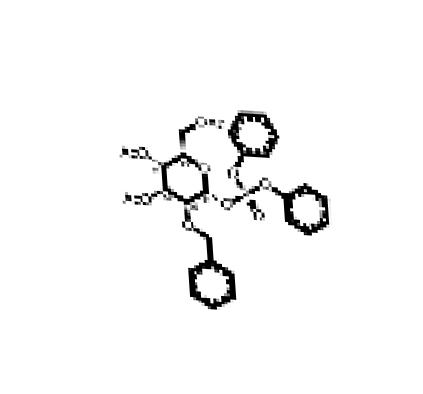 CC(=O)OC[C@H]1O[C@H](OP(=O)(Oc2ccccc2)Oc2ccccc2)[C@@H](OCc2ccccc2)[C@@H](OC(C)=O)[C@@H]1OC(C)=O